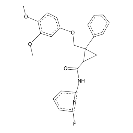 COc1ccc(OCC2(c3ccccc3)CC2C(=O)Nc2cccc(F)n2)cc1OC